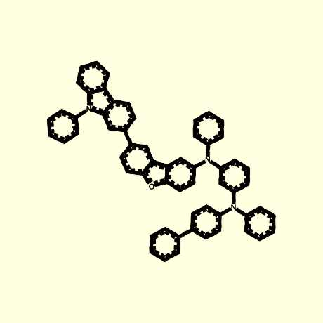 c1ccc(-c2ccc(N(c3ccccc3)c3cccc(N(c4ccccc4)c4ccc5oc6ccc(-c7ccc8c9ccccc9n(-c9ccccc9)c8c7)cc6c5c4)c3)cc2)cc1